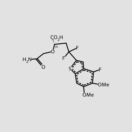 COc1cc2sc(C(F)(F)C[C@H](OCC(N)=O)C(=O)O)cc2c(F)c1OC